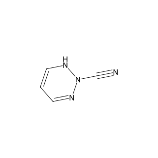 N#CN1N=CC=CN1